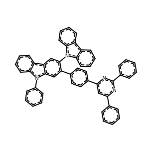 c1ccc(-c2cc(-c3ccc(-c4cc5c(cc4-n4c6ccccc6c6ccccc64)c4ccccc4n5-c4ccccc4)cc3)nc(-c3ccccc3)n2)cc1